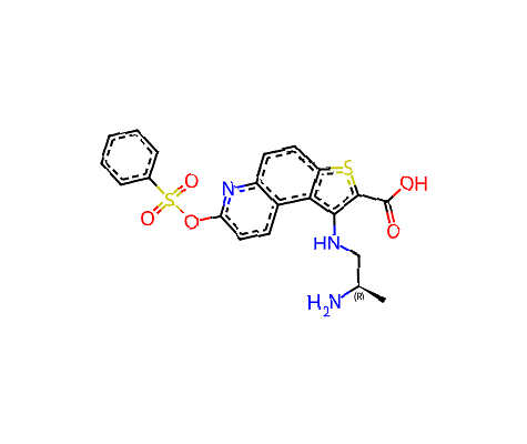 C[C@@H](N)CNc1c(C(=O)O)sc2ccc3nc(OS(=O)(=O)c4ccccc4)ccc3c12